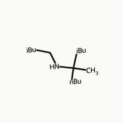 CCCCC(C)(NCC(C)CC)C(C)CC